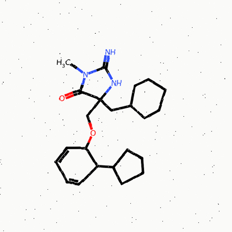 CN1C(=N)NC(COC2C=CC=CC2C2CCCC2)(CC2CCCCC2)C1=O